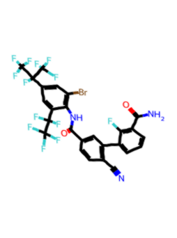 N#Cc1ccc(C(=O)Nc2c(Br)cc(C(F)(C(F)(F)F)C(F)(F)F)cc2C(F)(F)C(F)(F)F)cc1-c1cccc(C(N)=O)c1F